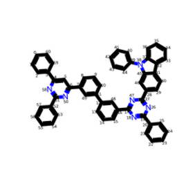 c1ccc(-c2cc(-c3cccc(-c4cccc(-c5nc(-c6ccccc6)nc(-c6ccc7c8ccccc8n(-c8ccccc8)c7c6)n5)c4)c3)nc(-c3ccccc3)n2)cc1